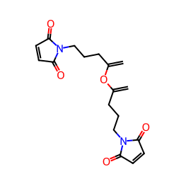 C=C(CCCN1C(=O)C=CC1=O)OC(=C)CCCN1C(=O)C=CC1=O